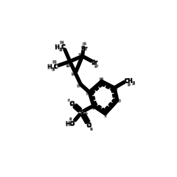 Cc1ccc(S(=O)(=O)O)c(CC2C(C)(C)C2(Br)Br)c1